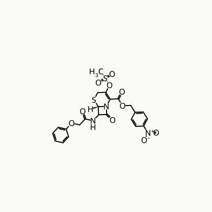 CS(=O)(=O)OC1=C(C(=O)OCc2ccc([N+](=O)[O-])cc2)N2C(=O)C(NC(=O)COc3ccccc3)[C@@H]2SC1